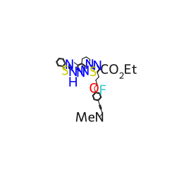 CCOC(=O)c1nc(N2CCCc3c2nnc(Nc2nc4ccccc4s2)c3C)sc1CCCOc1ccc(C#CCNC)cc1F